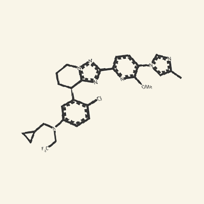 COc1nc(-c2nc3n(n2)CCC[C@@H]3c2cc(N(CC3CC3)CC(F)(F)F)ccc2Cl)ccc1-n1cnc(C)c1